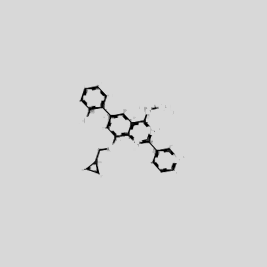 CNc1nc(-c2cccnc2)nc2c(OCC3CC3)cc(-c3ccccc3F)cc12